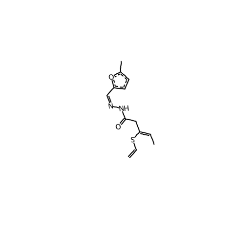 C=CS/C(=C\C)CC(=O)N/N=C\c1ccc(C)o1